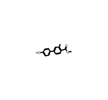 COC(=O)c1ccc(-c2ccc(O)cc2)cc1C